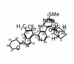 CSc1nc(N2C[C@H]3CC[C@@H](C2)N3C(=O)OC(C)(C)C)c2c(n1)sc1c(-c3c(C(F)(F)F)c(C)cc4c3cnn4C3CCCCO3)nccc12